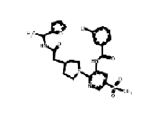 CC(NC(=O)CC1CCN(c2ncc(S(C)(=O)=O)cc2NC(=O)c2cccc(Cl)c2)CC1)c1ccco1